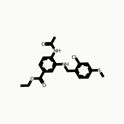 CCOC(=O)c1ccc(NC(C)=O)c(NCc2ccc(SC)cc2Cl)c1